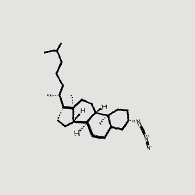 CC(C)CCC[C@@H](C)[C@H]1CC[C@H]2[C@@H]3CCC4C[C@@H](N=[N+]=[N-])CC[C@]4(C)[C@H]3CC[C@]12C